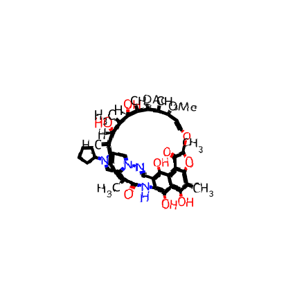 COC1/C=C/O[C@@]2(C)Oc3c(C)c(O)c4c(O)c(c(/C=N/N5CCN(C6CCCC6)CC5)c(O)c4c3C2=O)NC(=O)/C(C)=C\C=C\C(C)[C@H](O)C(C)[C@@H](O)C(C)C(OC(C)=O)C1C